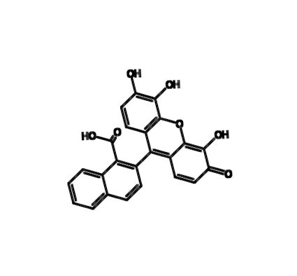 O=C(O)c1c(-c2c3ccc(=O)c(O)c-3oc3c(O)c(O)ccc23)ccc2ccccc12